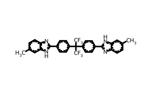 Cc1ccc2nc(-c3ccc(C(c4ccc(-c5nc6ccc(C)cc6[nH]5)cc4)(C(F)(F)F)C(F)(F)F)cc3)[nH]c2c1